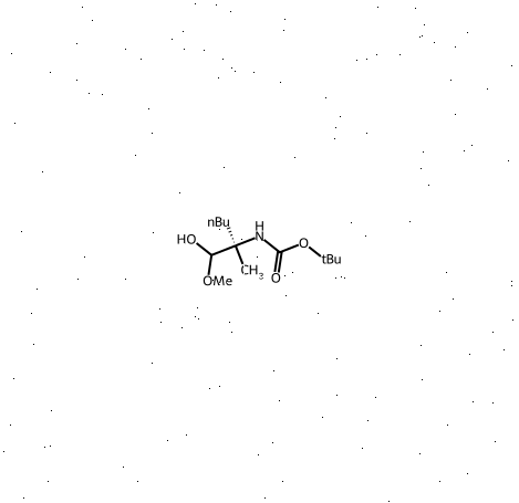 CCCC[C@@](C)(NC(=O)OC(C)(C)C)C(O)OC